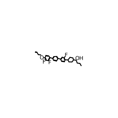 C=CCCOc1ccc(-c2ccc(-c3ccc(C4CCC(C(O)CCC)CC4)c(F)c3)cc2)c(F)c1F